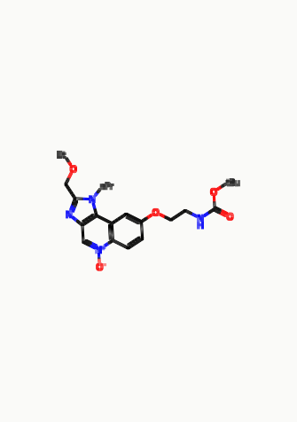 CCCn1c(COCC)nc2c[n+]([O-])c3ccc(OCCNC(=O)OC(C)(C)C)cc3c21